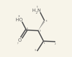 CC(C)[C@@H](CN)C(=O)O